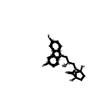 O=C1[C@H]2CC[C@H](C2)N1C[C@H](O)Cn1c2ccc(F)cc2c2cc(F)ccc21